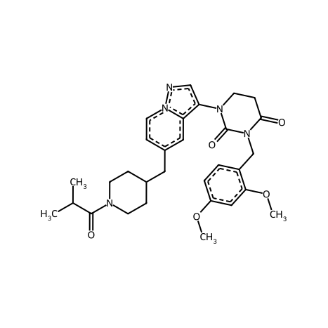 COc1ccc(CN2C(=O)CCN(c3cnn4ccc(CC5CCN(C(=O)C(C)C)CC5)cc34)C2=O)c(OC)c1